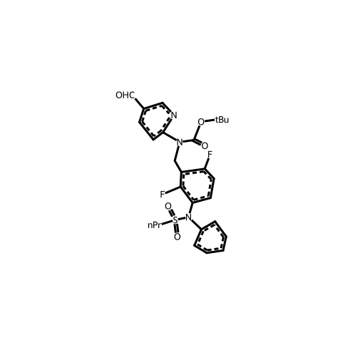 CCCS(=O)(=O)N(c1ccccc1)c1ccc(F)c(CN(C(=O)OC(C)(C)C)c2ccc(C=O)cn2)c1F